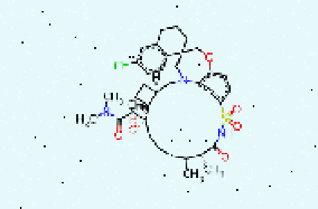 CC(C(=O)N(C)C)[C@]1(O)CCC[C@H](C)[C@@H](C)C(=O)NS(=O)(=O)c2ccc3c(c2)N(C[C@@H]2CC[C@H]21)C[C@@]1(CCCc2cc(Cl)ccc21)CO3